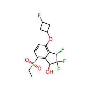 CCS(=O)(=O)c1ccc(OC2CC(F)C2)c2c1[C@H](O)C(F)(F)[C@@H]2F